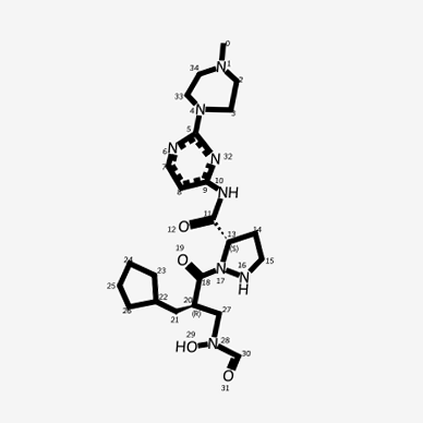 CN1CCN(c2nccc(NC(=O)[C@@H]3CCNN3C(=O)[C@H](CC3CCCC3)CN(O)C=O)n2)CC1